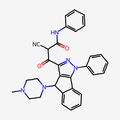 CN1CCN(C2c3ccccc3-c3c2c(C(=O)C(C#N)C(=O)Nc2ccccc2)nn3-c2ccccc2)CC1